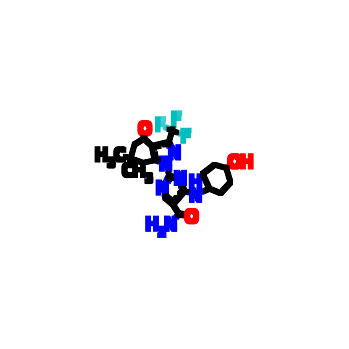 CC1(C)CC(=O)c2c(C(F)(F)F)nn(-c3ncc(C(N)=O)c(NC4CCC(O)CC4)n3)c2C1